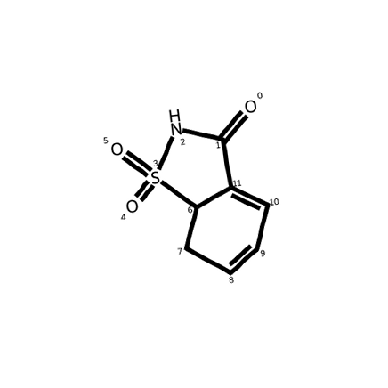 O=C1NS(=O)(=O)C2CC=CC=C12